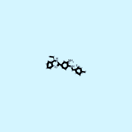 CC[C@@H](NC(=O)c1ccc(NCc2ccc(F)cc2F)c(N)c1)c1ccccc1